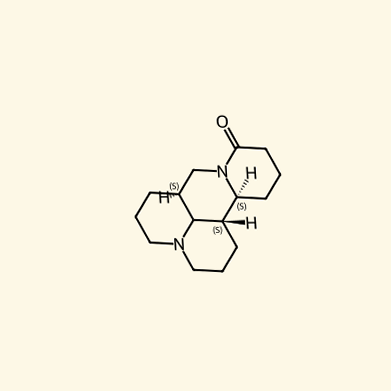 O=C1CCC[C@H]2[C@@H]3CCCN4CCC[C@@H](CN12)C34